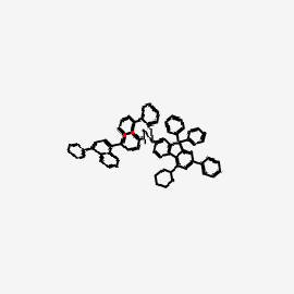 c1ccc(-c2cc(C3CCCCC3)c3c(c2)C(c2ccccc2)(c2ccccc2)c2cc(N(c4ccc(-c5ccc(-c6ccccc6)c6ccccc56)cc4)c4ccccc4-c4ccccc4)ccc2-3)cc1